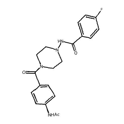 CC(=O)Nc1ccc(C(=O)N2CCN(NC(=O)c3ccc(F)cc3)CC2)cc1